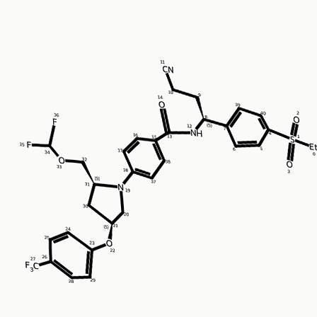 CCS(=O)(=O)c1ccc([C@H](CCC#N)NC(=O)c2ccc(N3C[C@@H](Oc4ccc(C(F)(F)F)cc4)C[C@H]3COC(F)F)cc2)cc1